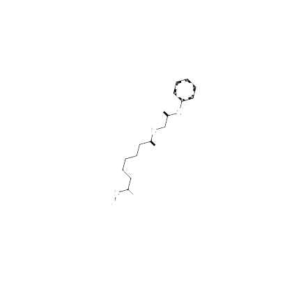 O=C(CCC[C@H](CC(NCl)C(=O)O)C(=O)O)NCC(=O)Nc1ccccc1